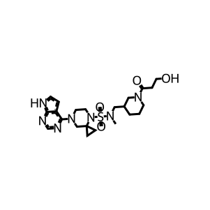 CN(CC1CCCN(C(=O)CCO)C1)S(=O)(=O)N1CCN(c2ncnc3[nH]ccc23)CC12CC2